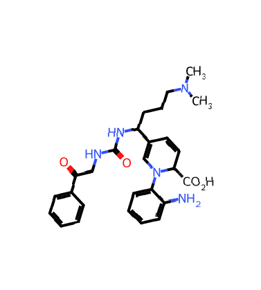 CN(C)CCCC(NC(=O)NCC(=O)c1ccccc1)C1=CN(c2ccccc2N)C(C(=O)O)C=C1